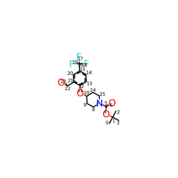 CC(C)(C)OC(=O)N1CCC(Oc2ccc(C(F)(F)F)cc2C=O)CC1